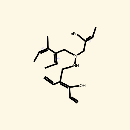 C=C/C(O)=C(\C=C)CNN(C/C(=C/C)CCC)CC(=C/C)/C(C)=C\C